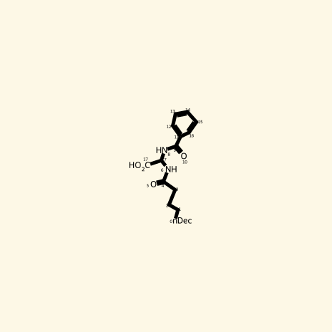 CCCCCCCCCCCCCC(=O)NC(NC(=O)c1ccccc1)C(=O)O